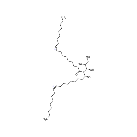 CCCCCCCC/C=C\CCCCCCCC(=O)P(C(=O)CCCCCCC/C=C\CCCCCCCC)C(O)C(O)CO